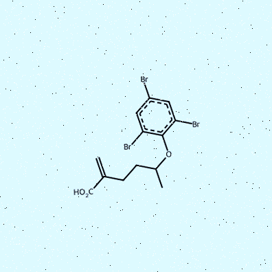 C=C(CCC(C)Oc1c(Br)cc(Br)cc1Br)C(=O)O